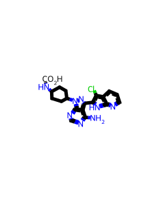 Nc1ncnc2c1c(-c1[nH]c3ncccc3c1Cl)nn2C1CCC(NC(=O)O)CC1